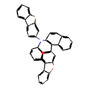 c1ccc(N(c2ccc3c(c2)sc2ccccc23)c2ccc3ccccc3c2-c2ccc3c(c2)oc2ccccc23)cc1